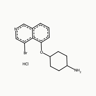 Cl.NC1CCC(Oc2cccc3cncc(Br)c23)CC1